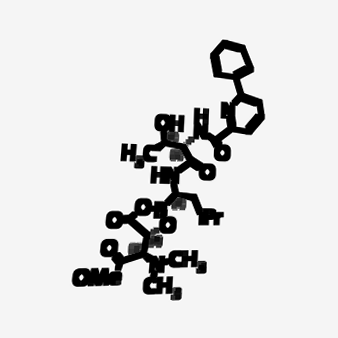 COC(=O)[C@@H]([C@H]1OB([C@H](CC(C)C)NC(=O)[C@@H](NC(=O)c2cccc(-c3ccccc3)n2)[C@@H](C)O)OC1=O)N(C)C